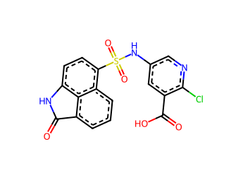 O=C(O)c1cc(NS(=O)(=O)c2ccc3c4c(cccc24)C(=O)N3)cnc1Cl